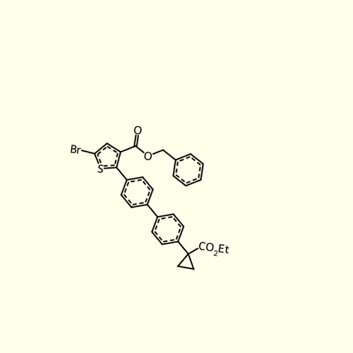 CCOC(=O)C1(c2ccc(-c3ccc(-c4sc(Br)cc4C(=O)OCc4ccccc4)cc3)cc2)CC1